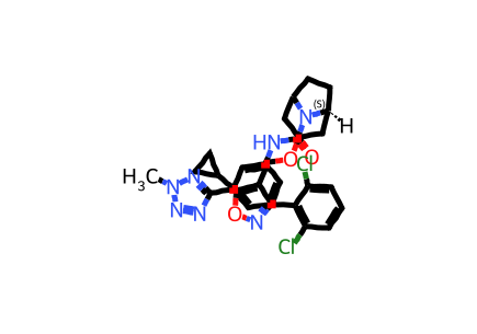 Cn1nnc(-c2cccc(NC(=O)N3C4CC[C@H]3CC(OCc3c(-c5c(Cl)cccc5Cl)noc3C3CC3)C4)c2)n1